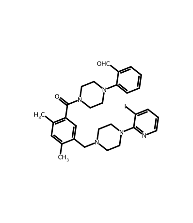 Cc1cc(C)c(C(=O)N2CCN(c3ccccc3C=O)CC2)cc1CN1CCN(c2ncccc2I)CC1